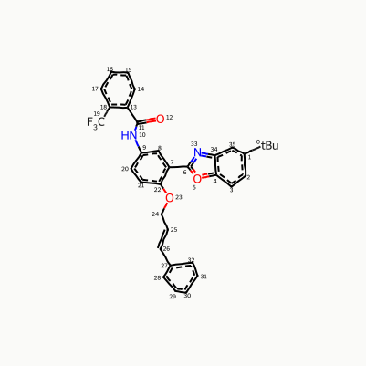 CC(C)(C)c1ccc2oc(-c3cc(NC(=O)c4ccccc4C(F)(F)F)ccc3OCC=Cc3ccccc3)nc2c1